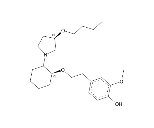 CCCCO[C@@H]1CCN(C2CCCC[C@@H]2OCCc2ccc(O)c(OC)c2)C1